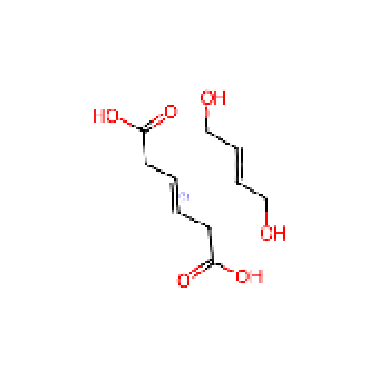 O=C(O)C/C=C/CC(=O)O.OCC=CCO